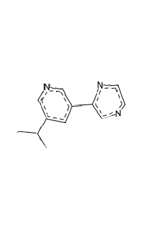 CC(C)c1cncc(-c2cnccn2)c1